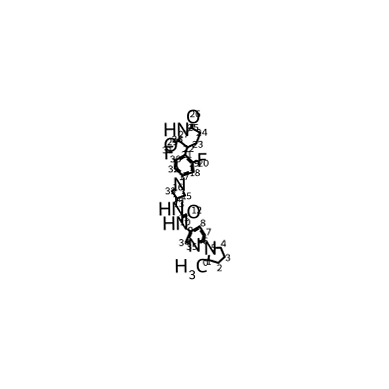 C[C@@H]1CCCN1c1ccc(NC(=O)NC2CN(c3cc(F)c(C4CCC(=O)NC4=O)c(F)c3)C2)cn1